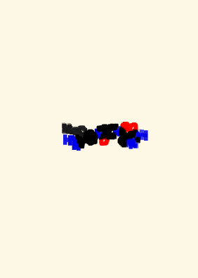 COc1cc(N2CCC3(CCN(C(=O)c4ccn5nc[nH]c(=O)c45)CC3)C2=O)ccc1-c1cn[nH]c1